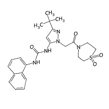 CC(C)(C)c1cc(NC(=O)Nc2cccc3ccccc23)n(CC(=O)N2CCS(=O)(=O)CC2)n1